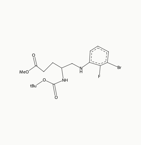 COC(=O)CCC(CNc1cccc(Br)c1F)NC(=O)OC(C)(C)C